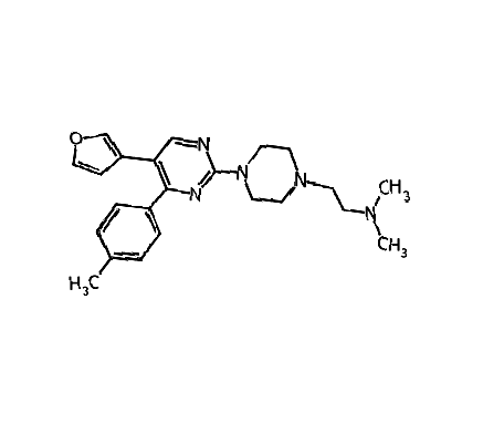 Cc1ccc(-c2nc(N3CCN(CCN(C)C)CC3)ncc2-c2ccoc2)cc1